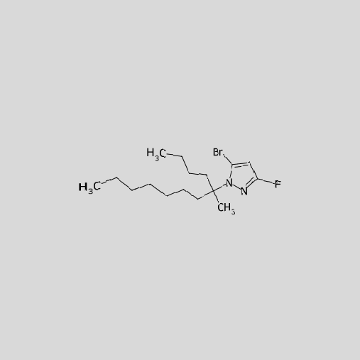 CCCCCCCC(C)(CCCC)n1nc(F)cc1Br